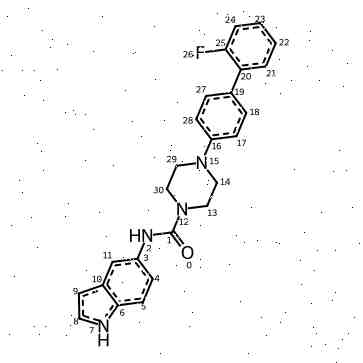 O=C(Nc1ccc2[nH]ccc2c1)N1CCN(c2ccc(-c3ccccc3F)cc2)CC1